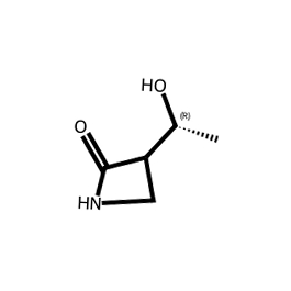 C[C@@H](O)C1CNC1=O